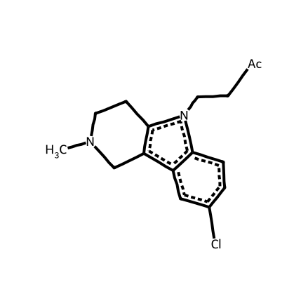 CC(=O)CCn1c2c(c3cc(Cl)ccc31)CN(C)CC2